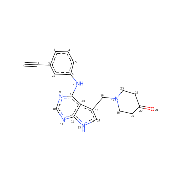 C#Cc1cccc(Nc2ncnc3[nH]cc(CN4CCC(=O)CC4)c23)c1